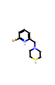 Brc1cccc(CN2CCSCC2)n1